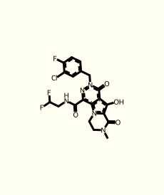 CN1CCn2c(c(O)c3c(=O)n(Cc4ccc(F)c(Cl)c4)nc(C(=O)NCC(F)F)c32)C1=O